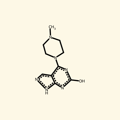 CN1CCN(c2nc(O)nc3[nH]ncc23)CC1